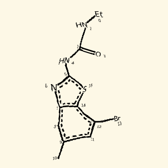 CCNC(=O)Nc1nc2cc(C)cc(Br)c2s1